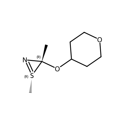 C[S@@]1=N[C@]1(C)OC1CCOCC1